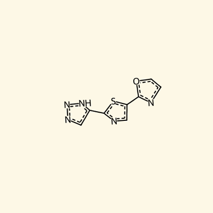 c1coc(-c2cnc(-c3cnn[nH]3)s2)n1